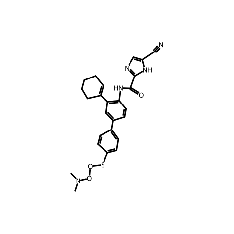 CN(C)OOSc1ccc(-c2ccc(NC(=O)c3ncc(C#N)[nH]3)c(C3=CCCCC3)c2)cc1